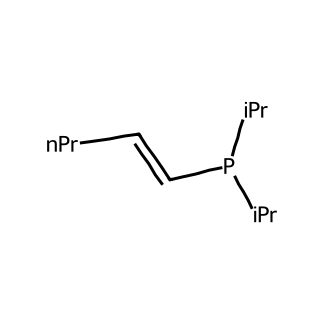 CCCC=CP(C(C)C)C(C)C